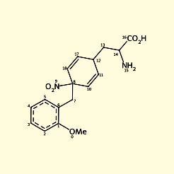 COc1ccccc1CC1([N+](=O)[O-])C=CC(CC(N)C(=O)O)C=C1